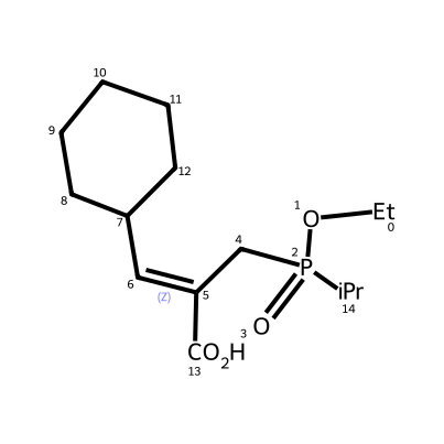 CCOP(=O)(C/C(=C\C1CCCCC1)C(=O)O)C(C)C